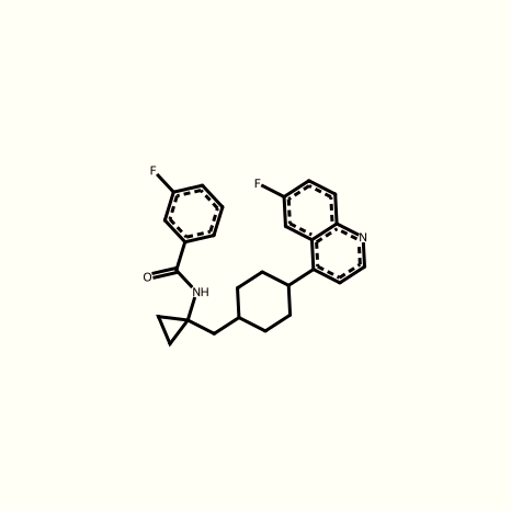 O=C(NC1(CC2CCC(c3ccnc4ccc(F)cc34)CC2)CC1)c1cccc(F)c1